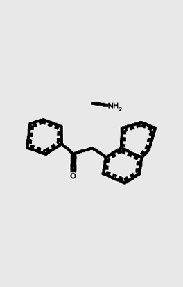 CN.O=C(Cc1cccc2ccccc12)c1ccccc1